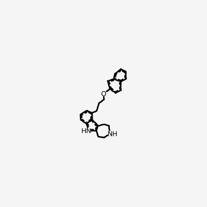 c1ccc2cc(OCCCc3cccc4[nH]c5c(c34)CCNCC5)ccc2c1